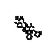 Cc1ccc(C(=O)N(CCCN)C(c2nc3ccccc3n2Cc2cccnc2)C(C)C)cc1